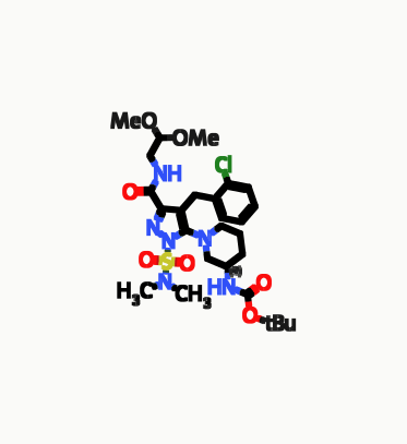 COC(CNC(=O)c1nn(S(=O)(=O)N(C)C)c(N2CCC[C@@H](NC(=O)OC(C)(C)C)C2)c1Cc1ccccc1Cl)OC